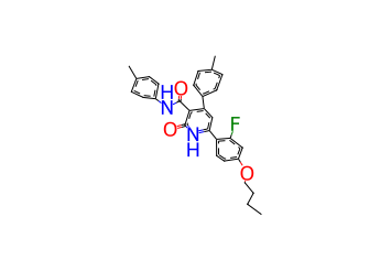 CCCCOc1ccc(-c2cc(-c3ccc(C)cc3)c(C(=O)Nc3ccc(C)cc3)c(=O)[nH]2)c(F)c1